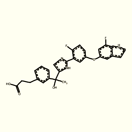 CC(O)(c1cccc(CCC(=O)O)c1)c1cnc(-c2cc(Oc3cc(F)c4[nH]ccc4c3)ccc2F)[nH]1